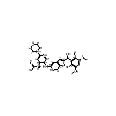 COc1cc(OC)c(F)c(C(O)c2cc3cc(Nc4cnc(N5CCOCC5)cc4NC(C)=O)ncc3o2)c1F